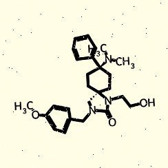 COc1ccc(CN2C[C@]3(CC[C@](c4ccccc4)(N(C)C)CC3)N(CCO)C2=O)cc1